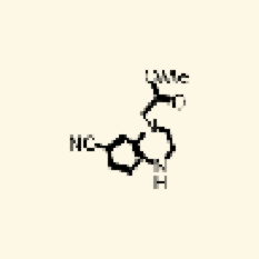 COC(=O)CN1CCNc2ccc(C#N)cc21